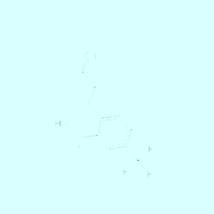 CCCSc1ccc(C(F)(F)F)cc1OC